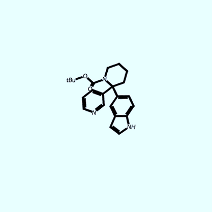 CC(C)(C)OC(=O)N1CCCCC1(c1cccnc1)c1ccc2[nH]ccc2c1